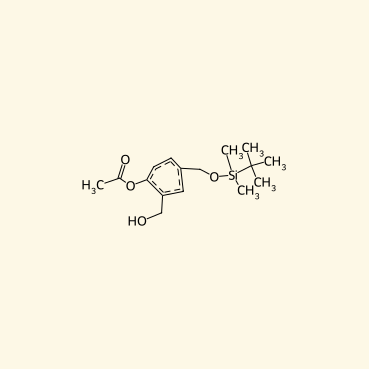 CC(=O)Oc1ccc(CO[Si](C)(C)C(C)(C)C)cc1CO